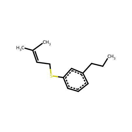 CCCc1cccc(SCC=C(C)C)c1